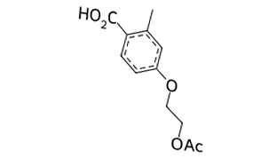 CC(=O)OCCOc1ccc(C(=O)O)c(C)c1